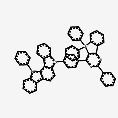 c1ccc(-c2nc(-c3ccc(-n4c5ccccc5c5c4ccc4c6ccccc6n(-c6ccccc6)c45)cc3)c3c(n2)-c2ccccc2[Si]3(c2ccccc2)c2ccccc2)cc1